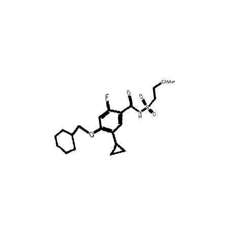 COCCS(=O)(=O)NC(=O)c1cc(C2CC2)c(OCC2CCCCC2)cc1F